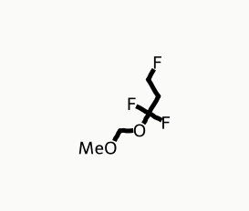 COCOC(F)(F)CCF